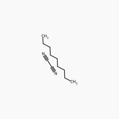 CCCCCCCCC.N#CC#N